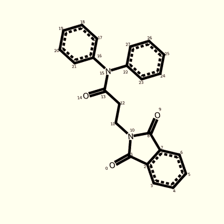 O=C1c2ccccc2C(=O)N1CCC(=O)N(c1ccccc1)c1ccccc1